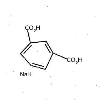 O=C(O)c1cccc(C(=O)O)c1.[NaH]